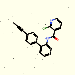 CC#Cc1ccc(-c2ccccc2NC(=O)c2cccnc2Cl)cc1